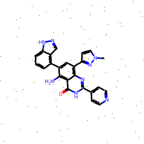 Cn1ccc(-c2cc(-c3cccc4[nH]ncc34)c(N)c3c(=O)[nH]c(-c4ccncc4)nc23)n1